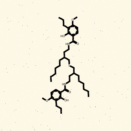 CCCCCCC(CCNC(=O)c1ccc(OC)c(CCC)c1O)CSCC(CCCCCC)CCNC(=O)c1ccc(OC)c(CCC)c1O